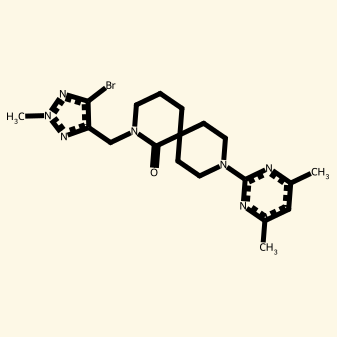 Cc1cc(C)nc(N2CCC3(CCCN(Cc4nn(C)nc4Br)C3=O)CC2)n1